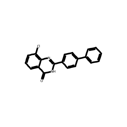 O=c1[nH]c(-c2ccc(-c3ccccc3)cc2)nc2c(Cl)cccc12